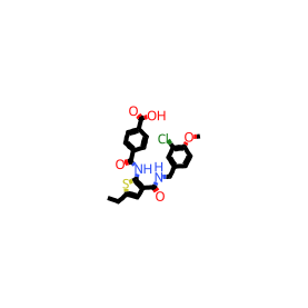 CCc1cc(C(=O)NCc2ccc(OC)c(Cl)c2)c(NC(=O)c2ccc(C(=O)O)cc2)s1